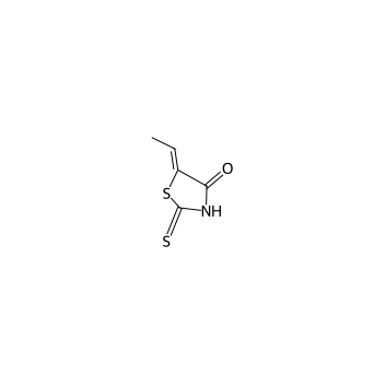 CC=C1SC(=S)NC1=O